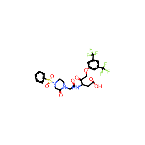 O=C(O)CC(NC(=O)CN1CCN(S(=O)(=O)c2ccccc2)CC1=O)C(=O)COc1cc(C(F)(F)F)cc(C(F)(F)F)c1